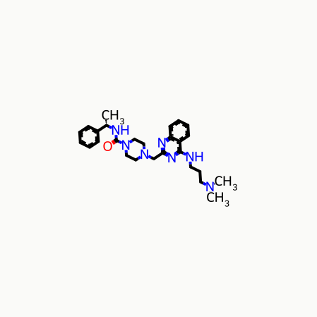 C[C@H](NC(=O)N1CCN(Cc2nc(NCCCN(C)C)c3ccccc3n2)CC1)c1ccccc1